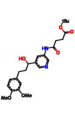 COc1ccc(CCC(O)c2cncc(NC(=O)CCC(=O)OC(C)(C)C)c2)cc1OC